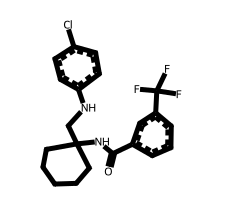 O=C(NC1(CNc2ccc(Cl)cc2)CCCCC1)c1cccc(C(F)(F)F)c1